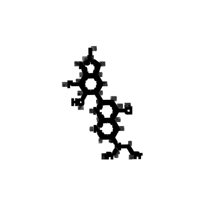 CCCN(CC(C)C)c1cnc2nc(-c3cc4cn(C)nc4c(F)c3O)cc(Cl)c2c1